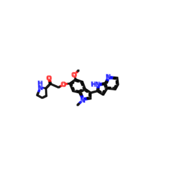 COc1cc2c(-c3cc4cccnc4[nH]3)cn(C)c2cc1OCC(=O)C1CCCN1